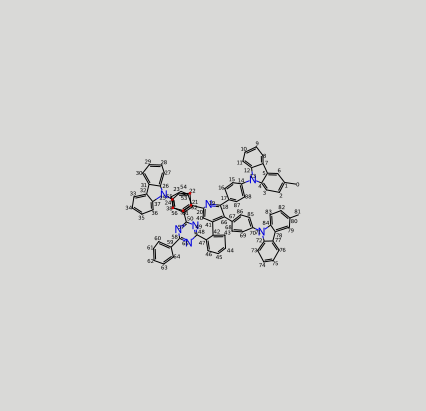 Cc1ccc2c(c1)c1ccccc1n2-c1ccc(-c2nc(-c3ccc(-n4c5ccccc5c5ccccc54)cc3)cc(-c3ccccc3-c3nc(-c4ccccc4)nc(-c4ccccc4)n3)c2-c2ccc(-n3c4ccccc4c4cc(C)ccc43)cc2)cc1